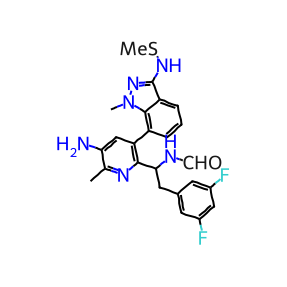 CSNc1nn(C)c2c(-c3cc(N)c(C)nc3C(Cc3cc(F)cc(F)c3)NC=O)cccc12